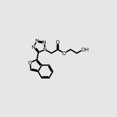 O=C(Cn1nnnc1-c1occ2ccccc12)OCCO